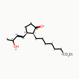 CCOC(=O)CCCCCC[C@@H]1C(=O)CC[C@@H]1C=CC(C)O